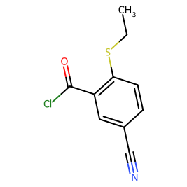 CCSc1ccc(C#N)cc1C(=O)Cl